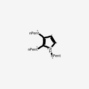 CCCCCC1=C(CCCCC)[SiH](CCCCC)C=C1